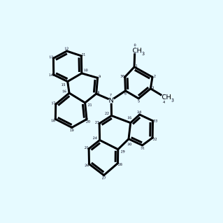 Cc1cc(C)cc(N(c2cc3ccccc3c3ccccc23)c2cc3ccccc3c3ccccc23)c1